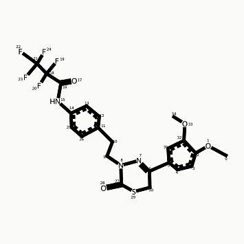 COc1ccc(C2=NN(CCc3ccc(NC(=O)C(F)(F)C(F)(F)F)cc3)C(=O)SC2)cc1OC